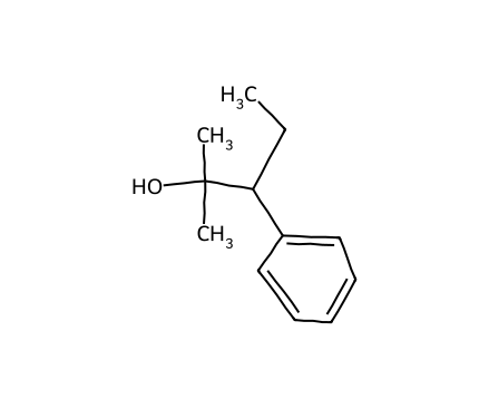 CCC(c1ccccc1)C(C)(C)O